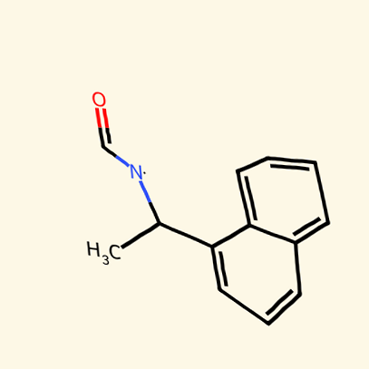 CC([N]C=O)c1cccc2ccccc12